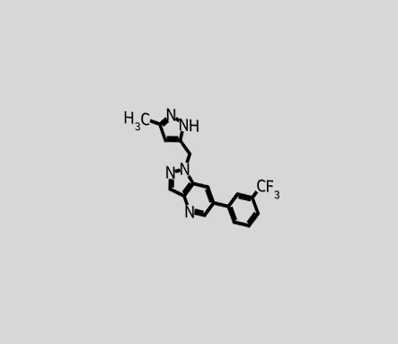 Cc1cc(Cn2ncc3ncc(-c4cccc(C(F)(F)F)c4)cc32)[nH]n1